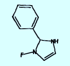 FN1C=CNC1c1ccccc1